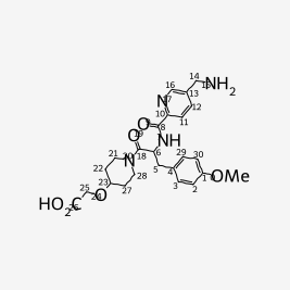 COc1ccc(CC(NC(=O)c2ccc(CN)cn2)C(=O)N2CCC(OCC(=O)O)CC2)cc1